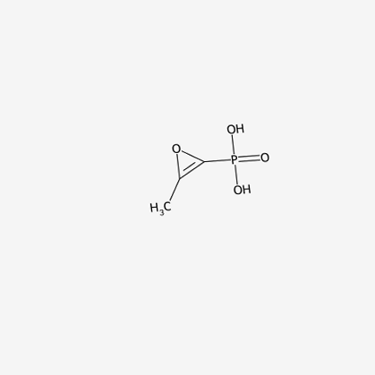 CC1=C(P(=O)(O)O)O1